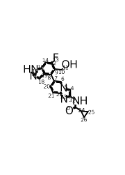 O=C(Nc1cn2cc(-c3c(CO)c(F)cc4[nH]ncc34)ccc2n1)C1CC1